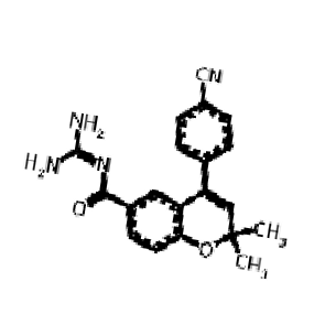 CC1(C)C=C(c2ccc(C#N)cc2)c2cc(C(=O)N=C(N)N)ccc2O1